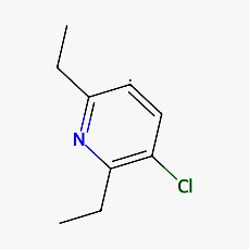 CCc1[c]cc(Cl)c(CC)n1